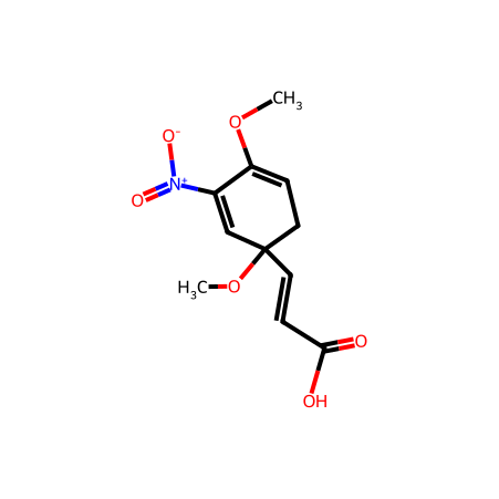 COC1=CCC(C=CC(=O)O)(OC)C=C1[N+](=O)[O-]